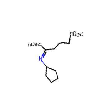 CCCCCCCCCCCCCC(CCCCCCCCCC)=NC1CCCC1